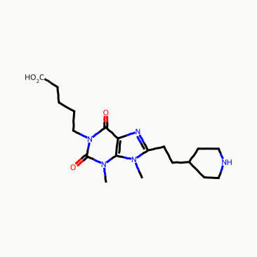 Cn1c(CCC2CCNCC2)nc2c(=O)n(CCCCC(=O)O)c(=O)n(C)c21